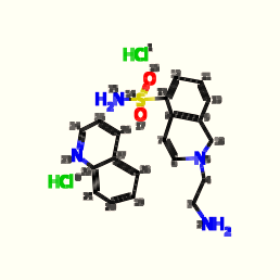 Cl.Cl.NCCN1C=Cc2c(cccc2S(N)(=O)=O)C1.c1ccc2ncccc2c1